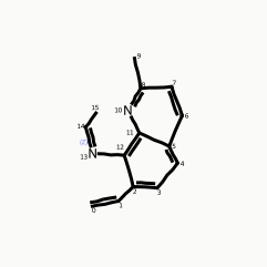 C=Cc1ccc2ccc(C)nc2c1/N=C\C